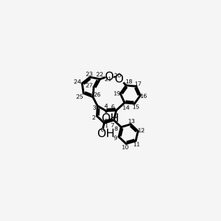 Oc1cc2c(O)c(c1-c1ccccc1)-c1cccc(c1)OOc1cccc-2c1